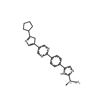 C[C@H](N)c1ncc(-c2ccc(-c3ncc(C4=CN=C(C5CCCC5)C4)cn3)cc2)[nH]1